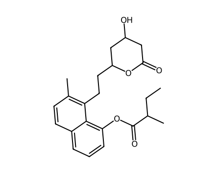 CCC(C)C(=O)Oc1cccc2ccc(C)c(CCC3CC(O)CC(=O)O3)c12